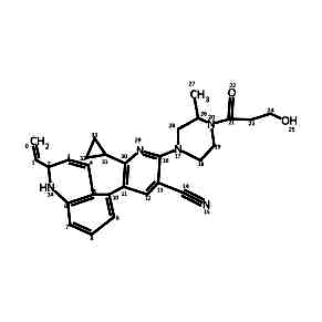 C=CC1C=Cc2c(cccc2-c2cc(C#N)c(N3CCN(C(=O)CCO)C(C)C3)nc2C2CC2)N1